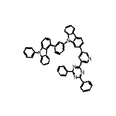 c1ccc(-c2nc(-c3ccccc3)nc(-c3cncc(-c4ccc5c6ccccc6n(-c6cccc(-c7cccc8c7c7ccccc7n8-c7ccccc7)c6)c5c4)c3)n2)cc1